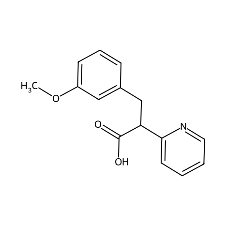 COc1cccc(CC(C(=O)O)c2ccccn2)c1